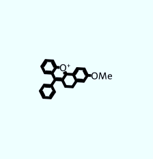 COc1ccc2c(c1)CCc1c-2[o+]c2ccccc2c1-c1ccccc1